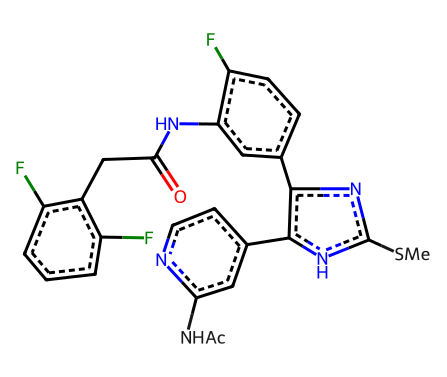 CSc1nc(-c2ccc(F)c(NC(=O)Cc3c(F)cccc3F)c2)c(-c2ccnc(NC(C)=O)c2)[nH]1